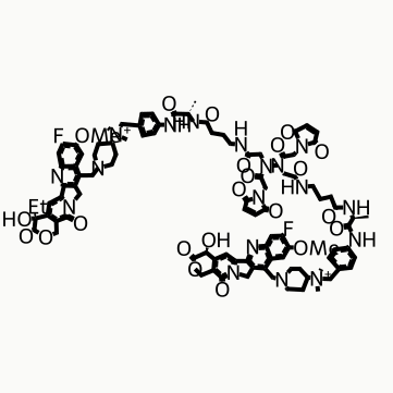 CC[C@@]1(O)C(=O)OCc2c1cc1n(c2=O)Cc2c-1nc1cc(F)c(OC)cc1c2CN1CCC([N+](C)(C)Cc2ccc(NC(=O)[C@H](C)NC(=O)CCCNC(=O)CN(C(=O)CN3C(=O)C=CC3=O)N(CC(=O)NCCCC(=O)N[C@@H](C)C(=O)Nc3ccc(C[N+](C)(C)C4CCN(Cc5c6c(nc7cc(F)c(OC)cc57)-c5cc7c(c(=O)n5C6)COC(=O)[C@H]7O)CC4)cc3)C(=O)CN3C(=O)C=CC3=O)cc2)CC1